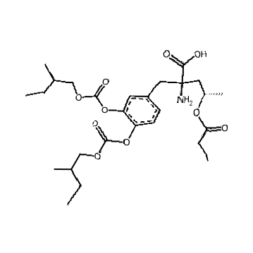 CCC(=O)O[C@@H](C)CC(N)(Cc1ccc(OC(=O)OCC(C)CC)c(OC(=O)OCC(C)CC)c1)C(=O)O